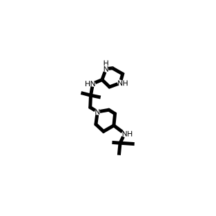 CC(C)(C)NC1CCN(CC(C)(C)NC2CNCCN2)CC1